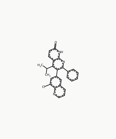 CC(C)c1c(-c2cc(Cl)c3ncccc3c2)c(-c2ccccc2)nc2[nH]c(=O)ccc12